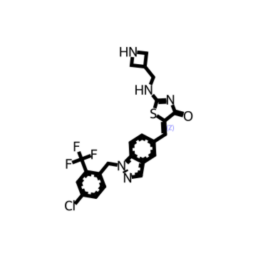 O=C1N=C(NCC2CNC2)S/C1=C\c1ccc2c(cnn2Cc2ccc(Cl)cc2C(F)(F)F)c1